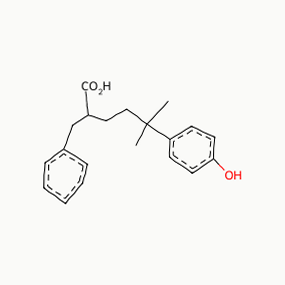 CC(C)(CCC(Cc1ccccc1)C(=O)O)c1ccc(O)cc1